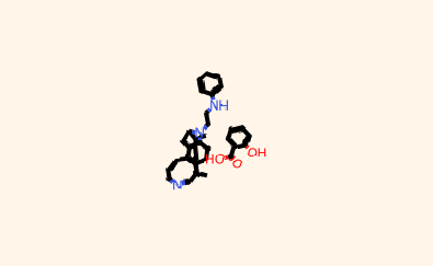 CC1C2CC3=C(CCC4=C3/C=C\C/N=C\C41C)N2CCNc1ccccc1.O=C(O)c1ccccc1O